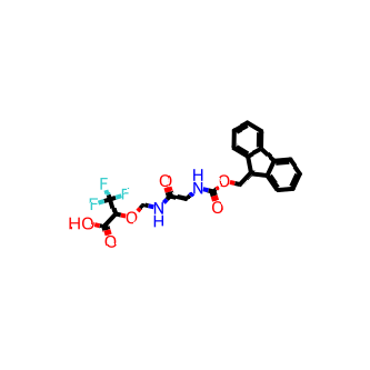 O=C(CNC(=O)OCC1c2ccccc2-c2ccccc21)NCOC(C(=O)O)C(F)(F)F